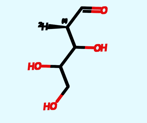 [2H][C@@H](C=O)C(O)C(O)CO